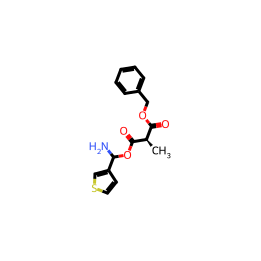 C[C@H](C(=O)OCc1ccccc1)C(=O)OC(N)c1ccsc1